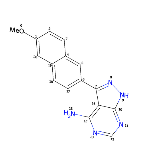 COc1ccc2cc(-c3n[nH]c4ncnc(N)c34)ccc2c1